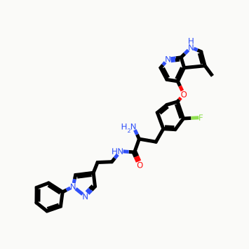 Cc1c[nH]c2nccc(Oc3ccc(CC(N)C(=O)NCCc4cnn(-c5ccccc5)c4)cc3F)c12